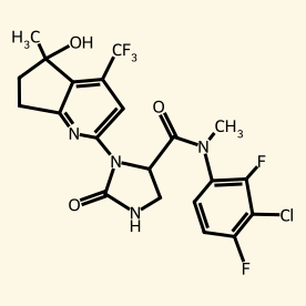 CN(C(=O)C1CNC(=O)N1c1cc(C(F)(F)F)c2c(n1)CCC2(C)O)c1ccc(F)c(Cl)c1F